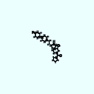 O=C(N1CCCC1)N1CCC2(CC1)C[C@H](CCN1CCN(c3ccc(F)cc3)CC1)NC2=O